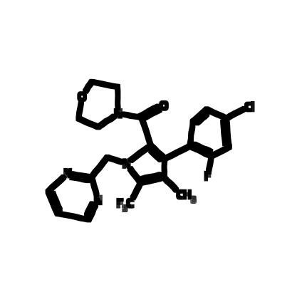 Cc1c(-c2ccc(Cl)cc2F)c(C(=O)N2CCOCC2)n(Cc2ncccn2)c1C(F)(F)F